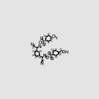 COc1ccc(S(=O)(=O)ON=C(C#N)c2cccc(C(C#N)=NOS(=O)(=O)c3ccc(CO)cc3)c2)cc1